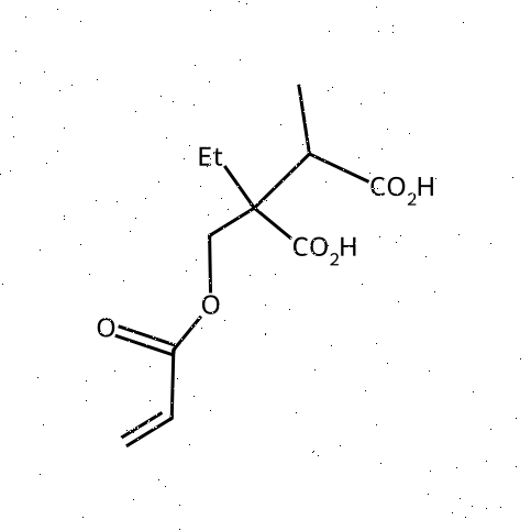 C=CC(=O)OCC(CC)(C(=O)O)C(C)C(=O)O